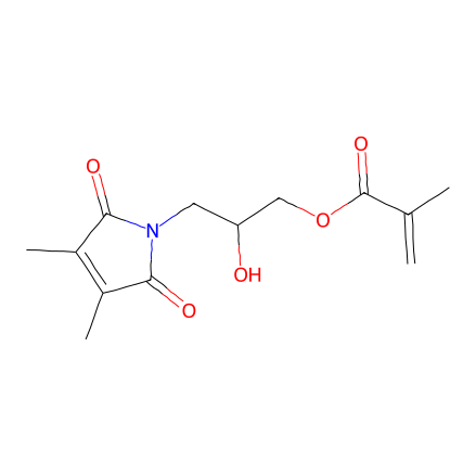 C=C(C)C(=O)OCC(O)CN1C(=O)C(C)=C(C)C1=O